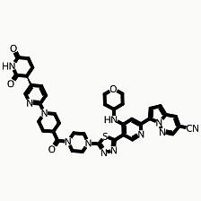 N#Cc1cnn2c(-c3cc(NC4CCOCC4)c(-c4nnc(N5CCN(C(=O)C6CCN(c7ccc([C@@H]8CCC(=O)NC8=O)cn7)CC6)CC5)s4)cn3)ccc2c1